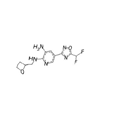 Nc1cc(-c2noc(C(F)F)n2)cnc1NCC1CCO1